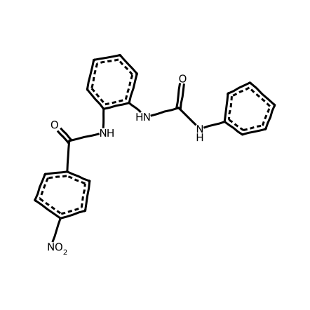 O=C(Nc1ccccc1)Nc1ccccc1NC(=O)c1ccc([N+](=O)[O-])cc1